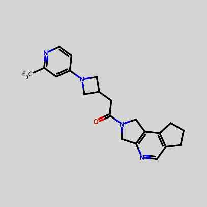 O=C(CC1CN(c2ccnc(C(F)(F)F)c2)C1)N1Cc2ncc3c(c2C1)CCC3